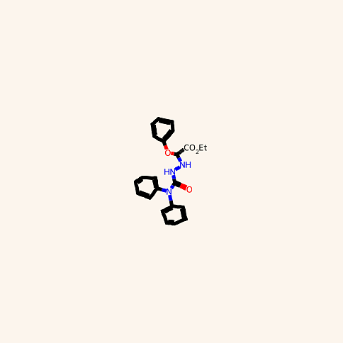 CCOC(=O)C(NNC(=O)N(c1ccccc1)c1ccccc1)Oc1ccccc1